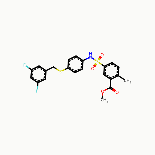 COC(=O)c1cc(S(=O)(=O)Nc2ccc(SCc3cc(F)cc(F)c3)cc2)ccc1C